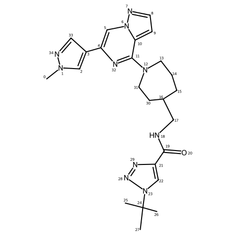 Cn1cc(-c2cn3nccc3c(N3CCCC(CNC(=O)c4cn(C(C)(C)C)nn4)CC3)n2)cn1